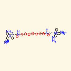 [N-]=[N+]=Nc1ccc2c(c1)c(-c1ccccc1)[n+](CCCCCC(=O)NCCOCCOCCOCCOCCOCCOCCOCCNC(=O)CCCCC[n+]1c(-c3ccccc3)c3cc(N=[N+]=[N-])ccc3c3ccc(N)cc31)c1cc(N)ccc21